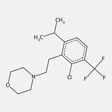 CC(C)c1ccc(C(F)(F)F)c(Cl)c1CCN1CCOCC1